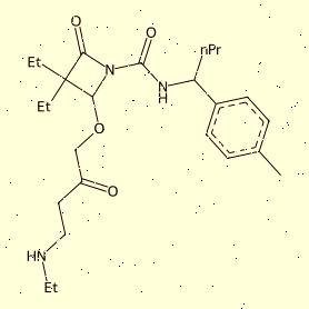 CCCC(NC(=O)N1C(=O)C(CC)(CC)C1OCC(=O)CCNCC)c1ccc(C)cc1